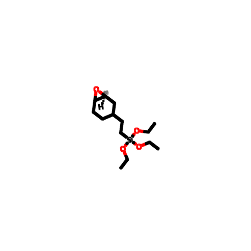 CCO[Si](CCC1CCC2O[C@H]2C1)(OCC)OCC